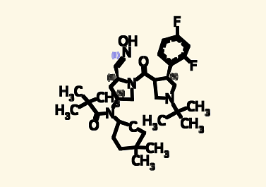 CC1(C)CCC(N(C(=O)C(C)(C)C)[C@H]2C[C@@H](/C=N/O)N(C(=O)C3CN(C(C)(C)C)C[C@@H]3c3ccc(F)cc3F)C2)CC1